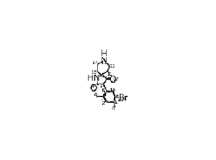 Cc1cc(C)c(C2C(=O)NC3(CCNCC3)C2=O)cc1Br